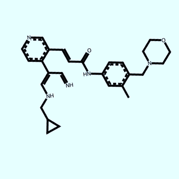 Cc1cc(NC(=O)/C=C/c2cnccc2/C(C=N)=C/NCC2CC2)ccc1CN1CCOCC1